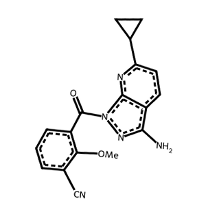 COc1c(C#N)cccc1C(=O)n1nc(N)c2ccc(C3CC3)nc21